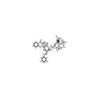 COC(=O)[C@H](Cc1ccccc1)NC(=O)[C@H](CO[C@H]1O[C@@H]2O[C@@]3(C)CC[C@H]4[C@H](C)CC[C@@H]([C@H]1C)[C@@]24OO3)NC(=O)OCc1ccccc1